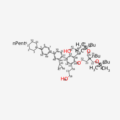 CCCCC[C@H]1CC[C@H](c2ccc(-c3ccc(-c4cc(CCCO)c(OCCC(CCCC)(CO[Si](C)(C)C(C)(C)C)CO[Si](C)(C)C(C)(C)C)c(CCCO)c4)c(C4CC4)c3)cc2)CC1